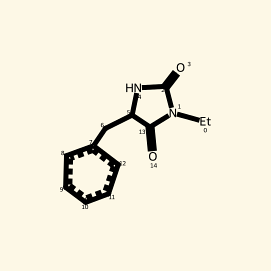 CCN1C(=O)NC(Cc2ccccc2)C1=O